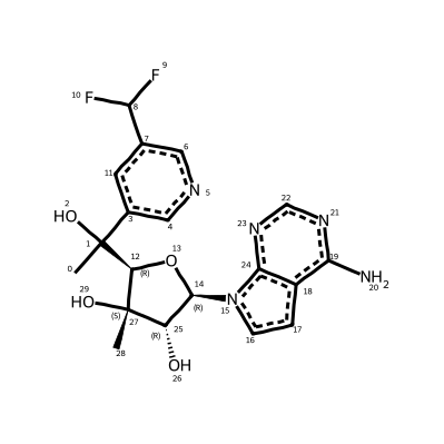 CC(O)(c1cncc(C(F)F)c1)[C@H]1O[C@@H](n2ccc3c(N)ncnc32)[C@H](O)[C@]1(C)O